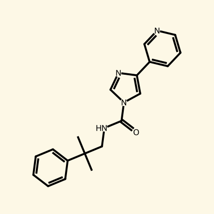 CC(C)(CNC(=O)n1cnc(-c2cccnc2)c1)c1ccccc1